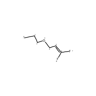 [CH2]CCOCC=C(F)F